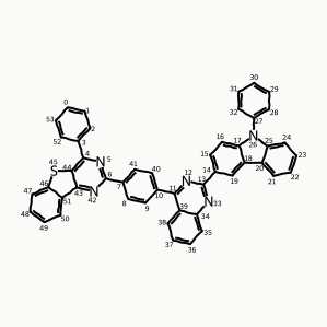 c1ccc(-c2nc(-c3ccc(-c4nc(-c5ccc6c(c5)c5ccccc5n6-c5ccccc5)nc5ccccc45)cc3)nc3c2sc2ccccc23)cc1